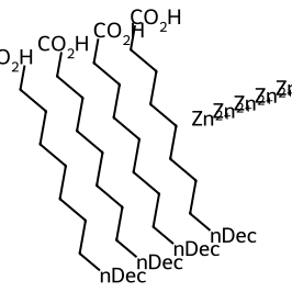 CCCCCCCCCCCCCCCCCC(=O)O.CCCCCCCCCCCCCCCCCC(=O)O.CCCCCCCCCCCCCCCCCC(=O)O.CCCCCCCCCCCCCCCCCC(=O)O.[Zn+2].[Zn+2].[Zn+2].[Zn+2].[Zn+2]